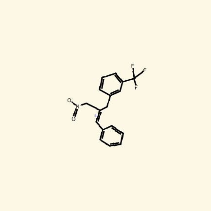 O=[N+]([O-])C/C(=C/c1ccccc1)Cc1cccc(C(F)(F)F)c1